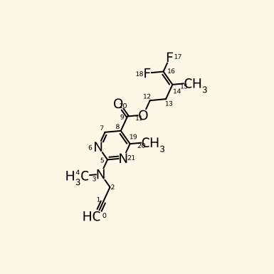 C#CCN(C)c1ncc(C(=O)OCCC(C)=C(F)F)c(C)n1